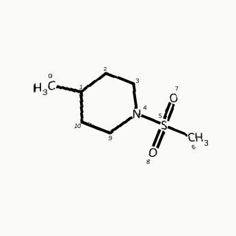 CC1CCN(S(C)(=O)=O)CC1